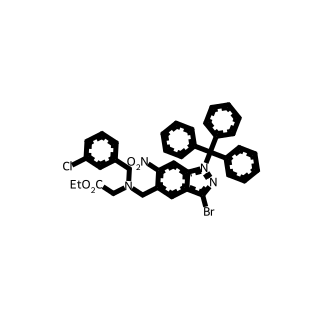 CCOC(=O)CN(Cc1cccc(Cl)c1)Cc1cc2c(Br)nn(C(c3ccccc3)(c3ccccc3)c3ccccc3)c2cc1[N+](=O)[O-]